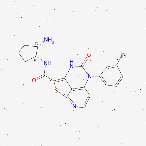 CC(C)c1cccc(N2C(=O)Nc3c(C(=O)N[C@@H]4CCC[C@@H]4N)sc4nccc2c34)c1